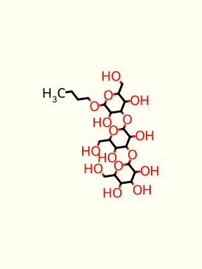 CCCCOC1OC(CO)C(O)C(OC2OC(CO)C(O)C(OC3OC(CO)C(O)C(O)C3O)C2O)C1O